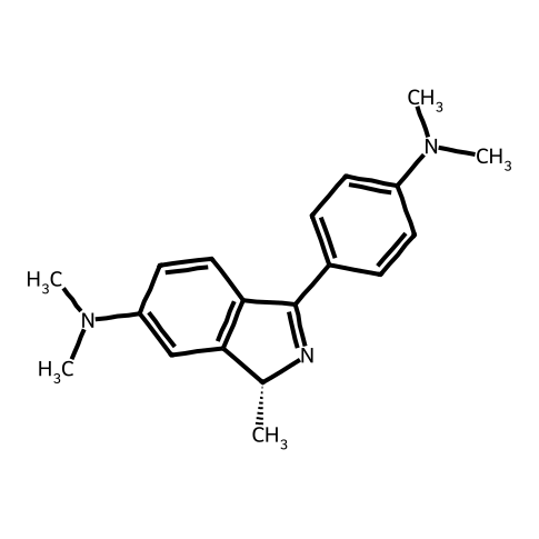 C[C@H]1N=C(c2ccc(N(C)C)cc2)c2ccc(N(C)C)cc21